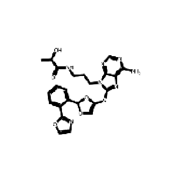 CC(O)C(=O)NCCCn1c(SC2=COC(c3ccccc3-c3ncco3)O2)nc2c(N)ncnc21